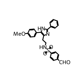 COc1ccc(-c2[nH]c(-c3ccccc3)nc2CCNS(=O)(=O)c2ccc(C=O)cc2)cc1